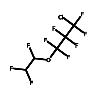 FC(F)C(F)OC(F)(F)C(F)(F)C(F)(F)Cl